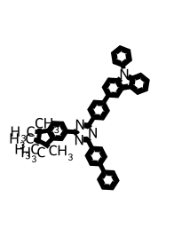 CC1(C)c2ccc(-c3nc(-c4ccc(-c5ccccc5)cc4)nc(-c4ccc(-c5ccc6c(c5)c5ccccc5n6-c5ccccc5)cc4)n3)cc2C(C)(C)C1(C)C